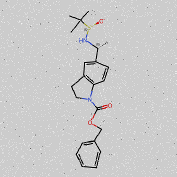 C[C@@H](N[S@+]([O-])C(C)(C)C)c1ccc2c(c1)CCN2C(=O)OCc1ccccc1